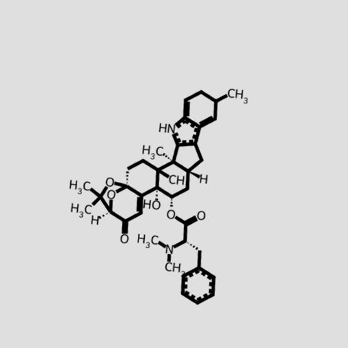 CC1C=c2c3c([nH]c2=CC1)[C@@]1(C)[C@H](C3)C[C@H](OC(=O)[C@H](Cc2ccccc2)N(C)C)[C@@]2(O)C3=CC(=O)[C@@H]4O[C@@]3(CCC12C)OC4(C)C